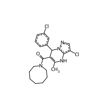 CC1=C(C(=O)N2CCCCCCC2)C(c2cccc(Cl)c2)n2ncc(Cl)c2N1